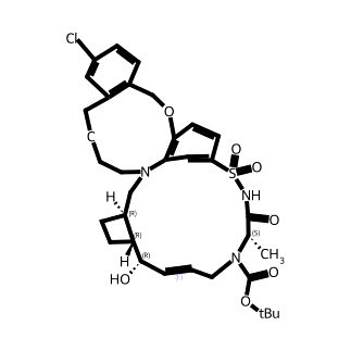 C[C@H]1C(=O)NS(=O)(=O)c2ccc3c(c2)N(CCCCc2cc(Cl)ccc2CO3)C[C@@H]2CC[C@H]2[C@@H](O)/C=C/CN1C(=O)OC(C)(C)C